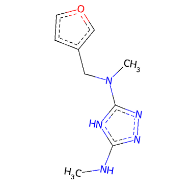 CNc1nnc(N(C)Cc2ccoc2)[nH]1